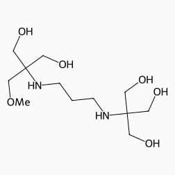 COCC(CO)(CO)NCCCNC(CO)(CO)CO